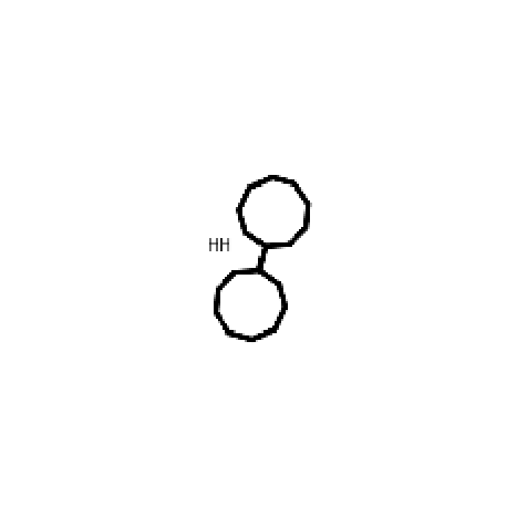 C1CCCCC(C2CCCCCCCC2)CCC1.[HH]